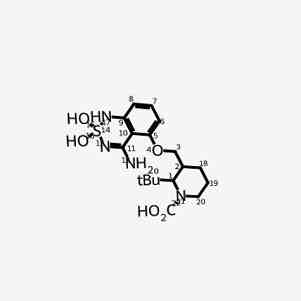 CC(C)(C)C1C(COc2cccc3c2C(N)=NS(O)(O)N3)CCCN1C(=O)O